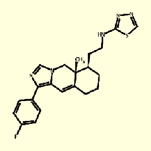 C[C@]12Cn3cnc(-c4ccc(F)cc4)c3C=C1CCC[C@@H]2CCNc1nncs1